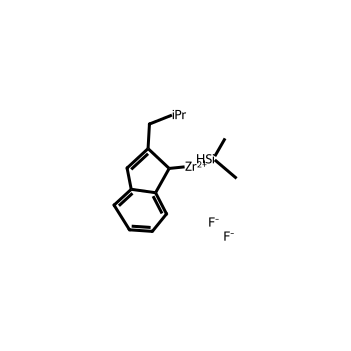 CC(C)CC1=Cc2ccccc2[CH]1[Zr+2][SiH](C)C.[F-].[F-]